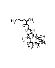 CCCC[C@@H](C)C(=O)CC(=O)N[C@@H](CC)C(=O)N(C)CC(=O)N(C)[C@@H](CC(C)(C)O)C(N)=O